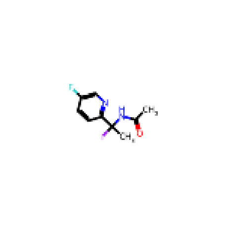 CC(=O)NC(C)(I)c1ccc(F)cn1